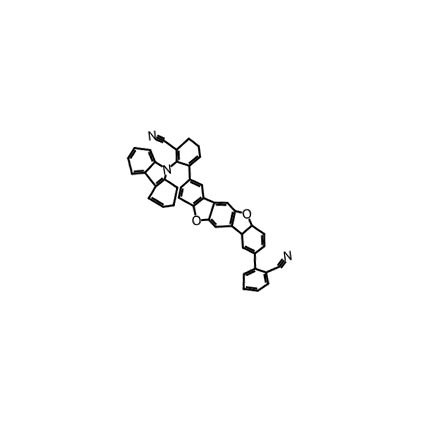 N#CC1=C(n2c3c(c4ccccc42)C=CCC3)C(c2ccc3oc4cc5c(cc4c3c2)OC2C=CC(c3ccccc3C#N)=CC52)=CCC1